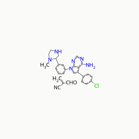 C=C(C#N)C=O.CN1CCNCC1c1cccc(-n2cc(-c3ccc(Cl)cc3)c3c(N)ncnc32)c1